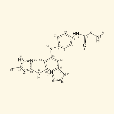 CNCC(=O)Nc1ccc(Sc2cc3nccn3c(Nc3cc(C)[nH]n3)n2)cc1